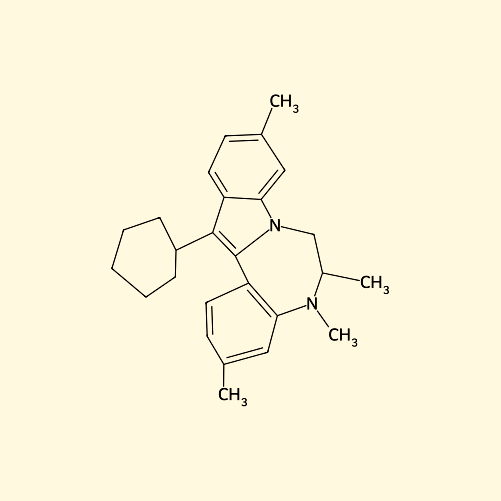 Cc1ccc2c(c1)N(C)C(C)Cn1c-2c(C2CCCCC2)c2ccc(C)cc21